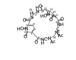 CC(=O)N1CNC(=O)c2ccc(n(O)c2=O)C(=O)NC(C)NC(=O)c2ccc(c(=O)n2O)C(=O)NCN(C(C)=O)C1